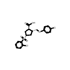 O=C(O)[C@@H]1C[C@@H](S(=O)(=O)c2ccccc2Cl)C[C@H]1COc1ccc(Cl)cc1